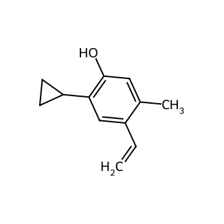 C=Cc1cc(C2CC2)c(O)cc1C